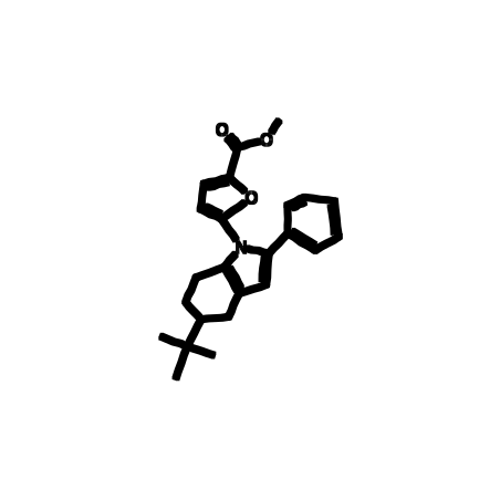 COC(=O)c1ccc(-n2c(-c3ccccc3)cc3c2CCC(C(C)(C)C)C3)o1